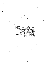 C=CCO[C@H]1[C@@H](O)[C@H](n2cnc3c(=O)[nH]c(N)nc32)O[C@@H]1CO